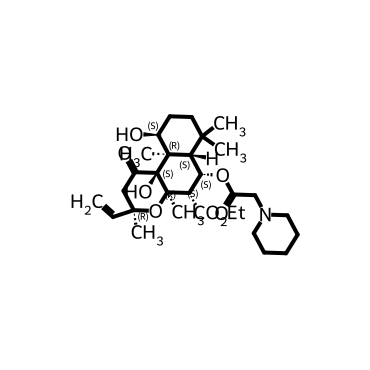 C=C[C@@]1(C)CC(=O)[C@]2(O)[C@@]3(C)[C@@H](O)CCC(C)(C)[C@@H]3[C@H](OC(=O)CN3CCCCC3)[C@H](C(=O)OCC)[C@@]2(C)O1